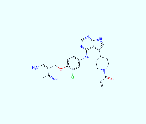 C=CC(=O)N1CCC(c2c[nH]c3ncnc(Nc4ccc(OC/C(=C/N)C(C)=N)c(Cl)c4)c23)CC1